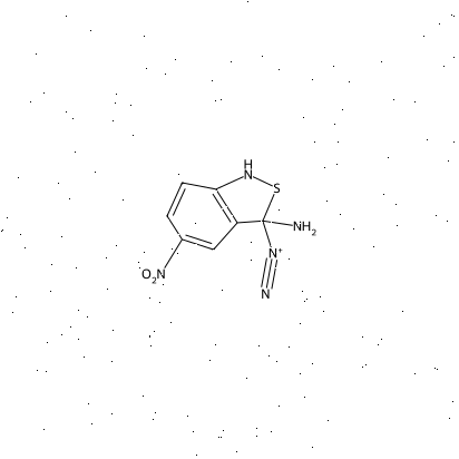 N#[N+]C1(N)SNc2ccc([N+](=O)[O-])cc21